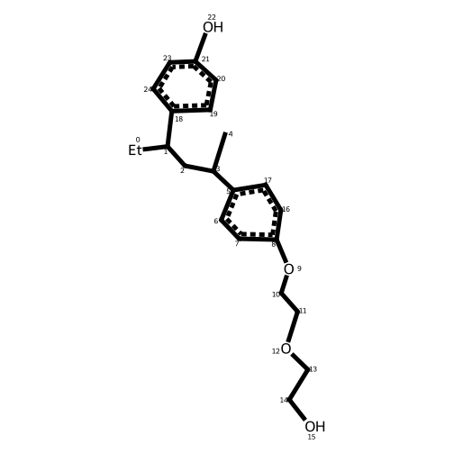 CCC(CC(C)c1ccc(OCCOCCO)cc1)c1ccc(O)cc1